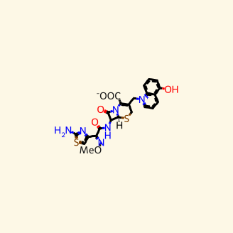 CON=C(C(=O)NC1C(=O)N2C(C(=O)[O-])=C(C[n+]3cccc4c(O)cccc43)CS[C@@H]12)c1csc(N)n1